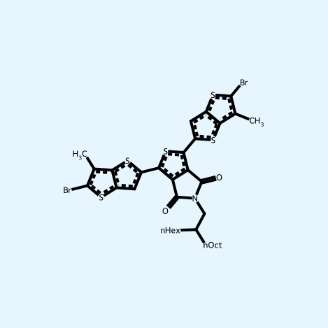 CCCCCCCCC(CCCCCC)CN1C(=O)c2c(-c3cc4sc(Br)c(C)c4s3)sc(-c3cc4sc(Br)c(C)c4s3)c2C1=O